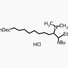 CCCCCCCCCCCCCCCCCCC(C(CC)CCCC)N(C)C.Cl